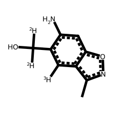 [2H]C([2H])(O)c1c(N)cc2onc(C)c2c1[3H]